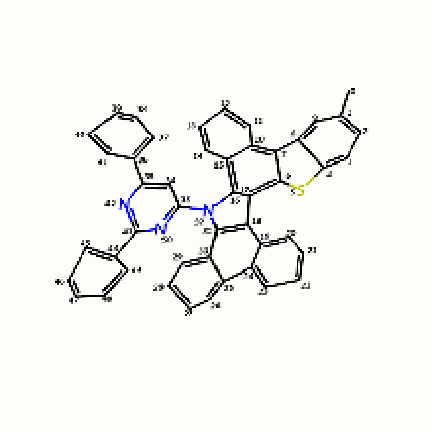 Cc1ccc2sc3c(c2c1)c1ccccc1c1c3c2c3ccccc3c3ccccc3c2n1-c1cc(-c2ccccc2)nc(-c2ccccc2)n1